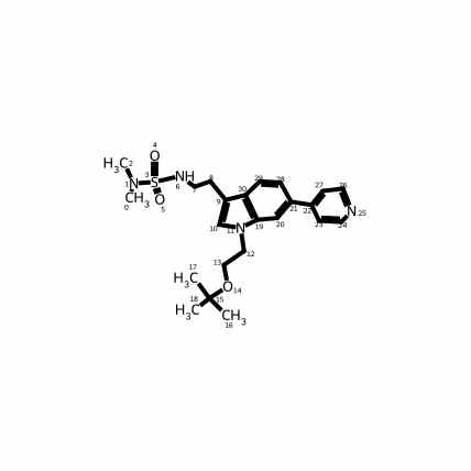 CN(C)S(=O)(=O)NCCc1cn(CCOC(C)(C)C)c2cc(-c3ccncc3)ccc12